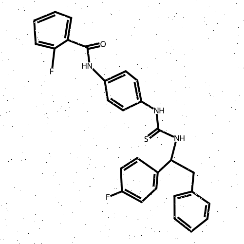 O=C(Nc1ccc(NC(=S)NC(Cc2ccccc2)c2ccc(F)cc2)cc1)c1ccccc1F